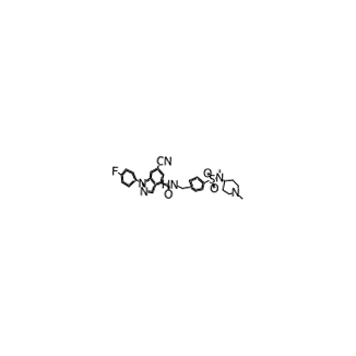 CN1CCC(N(C)S(=O)(=O)c2ccc(CNC(=O)c3cc(C#N)cc4c3cnn4-c3ccc(F)cc3)cc2)CC1